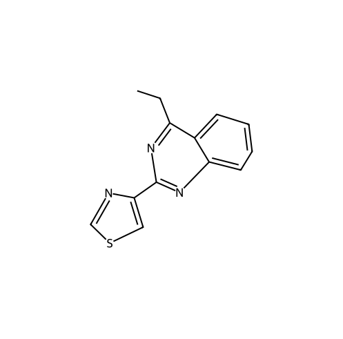 CCc1nc(-c2cscn2)nc2ccccc12